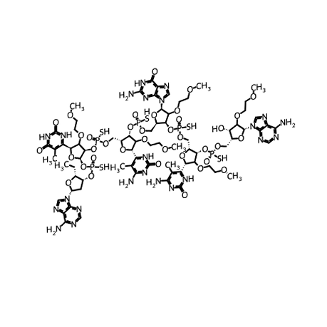 CC[C@H]1O[C@@H](n2cnc3c(N)ncnc32)C[C@H]1OP(=O)(S)O[C@H]1O[C@@H](c2[nH]c(=O)[nH]c(=O)c2C)C(OCCOC)[C@H]1OP(=O)(S)OC[C@H]1O[C@@H](c2[nH]c(=O)nc(N)c2C)C(OCCOC)[C@H]1OP(=O)(S)OC[C@H]1O[C@@H](n2cnc3c(=O)[nH]c(N)nc32)C(OCCOC)[C@H]1OP(=O)(S)OC[C@H]1O[C@@H](c2[nH]c(=O)nc(N)c2C)C(OCCOC)[C@H]1OP(=O)(S)OC[C@H]1O[C@@H](n2cnc3c(N)ncnc32)C(OCCOC)[C@H]1O